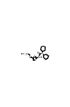 O=C(O)CSc1cnc(NC(=O)N(C2CCCCC2)C2CCCCC2)s1